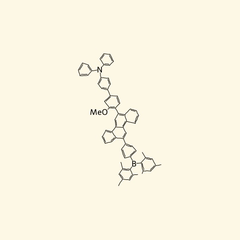 COc1cc(-c2ccc(N(c3ccccc3)c3ccccc3)cc2)ccc1-c1cc2c3ccccc3c(-c3ccc(B(c4c(C)cc(C)cc4C)c4c(C)cc(C)cc4C)cc3)cc2c2ccccc12